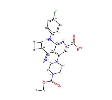 CCOC(=O)N1CCN(c2cc(C(=O)O)nc(Nc3ccc(F)cc3)c2C(=N)C2CCC2)CC1